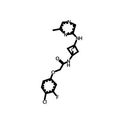 Cc1cncc(NC23CC(NC(=O)COc4ccc(Cl)c(F)c4)(C2)C3)n1